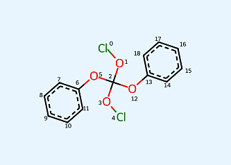 ClOC(OCl)(Oc1ccccc1)Oc1ccccc1